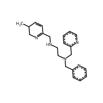 CC1C=CC(CNCCN(Cc2ccccn2)Cc2ccccn2)=NC1